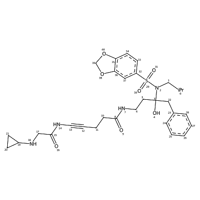 CC(C)CN(C(O)(CCNC(=O)CCC#CNC(=O)CNC1CC1)Cc1ccccc1)S(=O)(=O)c1ccc2c(c1)OCO2